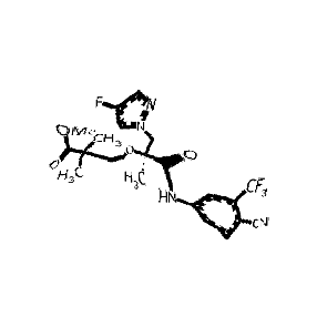 COC(=O)C(C)(C)CO[C@@](C)(Cn1cc(F)cn1)C(=O)Nc1ccc(C#N)c(C(F)(F)F)c1